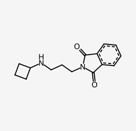 O=C1c2ccccc2C(=O)N1CCCNC1CCC1